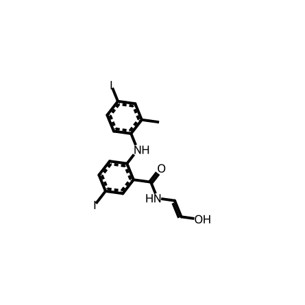 Cc1cc(I)ccc1Nc1ccc(I)cc1C(=O)N/C=C/O